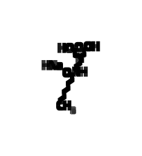 CCCCCCCC(=O)NCCN(CCO)CC(=O)O.[NaH]